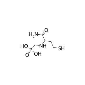 NC(=O)C(CCS)NCP(=O)(O)O